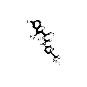 Cc1c(C(NC(=O)Nc2ccc(C(N)=O)nc2)C(C)C)oc2ccc(F)cc12